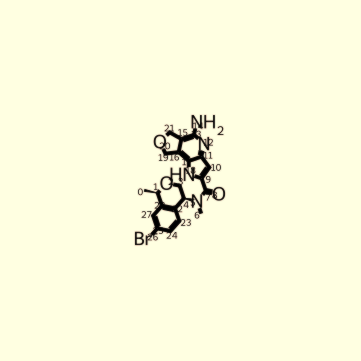 C[C@H]1OC[C@@H](N(C)C(=O)c2cc3nc(N)c4c(c3[nH]2)COC4)c2ccc(Br)cc21